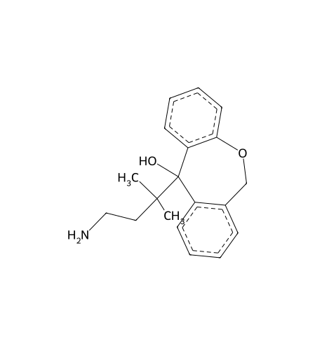 CC(C)(CCN)C1(O)c2ccccc2COc2ccccc21